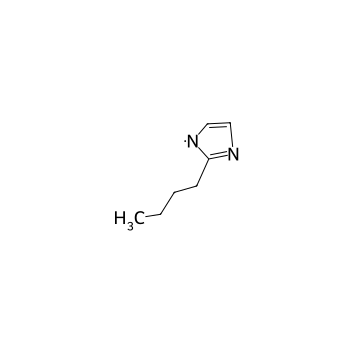 CCCCC1=NC=C[N]1